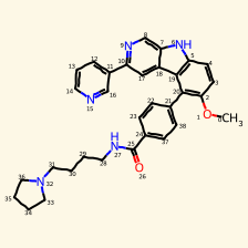 COc1ccc2[nH]c3cnc(-c4cccnc4)cc3c2c1-c1ccc(C(=O)NCCCCN2CCCC2)cc1